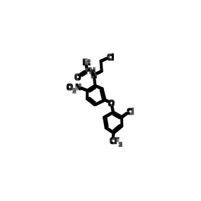 CC[PH](=O)N(CCCl)c1cc(Oc2ccc(C(F)(F)F)cc2Cl)ccc1[N+](=O)[O-]